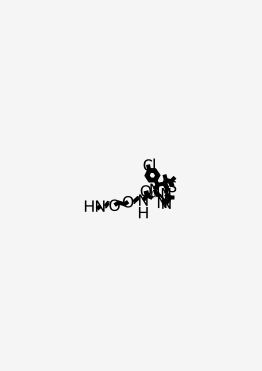 CNCCOCCOCCNC(=O)C[C@@H]1N=C(c2ccc(Cl)cc2)c2c(sc(C)c2C)-n2c(C)nnc21